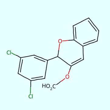 O=C(O)OC1=Cc2ccccc2OC1c1cc(Cl)cc(Cl)c1